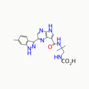 Cc1ccc2c(-c3cnc4[nH]cc(C(=O)NC(C)(C)CNC(=O)O)c4n3)n[nH]c2c1